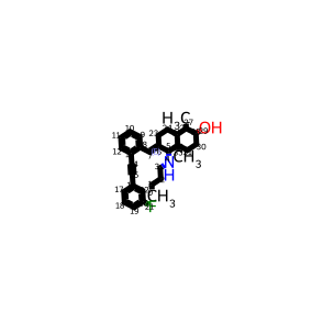 CCCCNC1/C(=C/c2ccccc2C#Cc2cccc(F)c2)CCC2C(C)C(O)CC[C@]12C